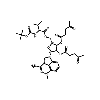 CC(=O)CCC(=O)OC1C(OC(=O)CCC(C)=O)[C@@H](COC(=O)C(NC(=O)OC(C)(C)C)C(C)C)O[C@H]1n1cc2c3c(ncnc31)N(C)N=C2N